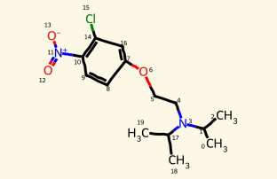 CC(C)N(CCOc1ccc([N+](=O)[O-])c(Cl)c1)C(C)C